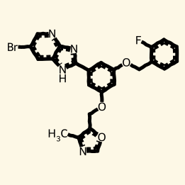 Cc1ncoc1COc1cc(OCc2ccccc2F)cc(-c2nc3ncc(Br)cc3[nH]2)c1